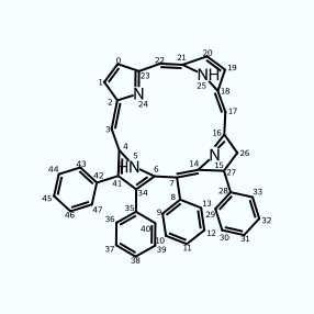 C1=Cc2cc3[nH]c(c(-c4ccccc4)c4nc(cc5ccc(cc1n2)[nH]5)CC4c1ccccc1)c(-c1ccccc1)c3-c1ccccc1